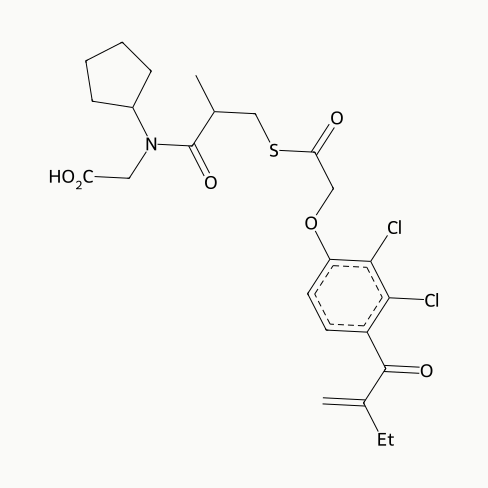 C=C(CC)C(=O)c1ccc(OCC(=O)SCC(C)C(=O)N(CC(=O)O)C2CCCC2)c(Cl)c1Cl